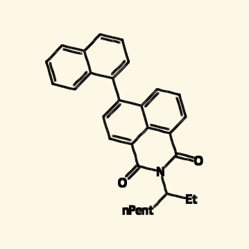 CCCCCC(CC)N1C(=O)c2cccc3c(-c4cccc5ccccc45)ccc(c23)C1=O